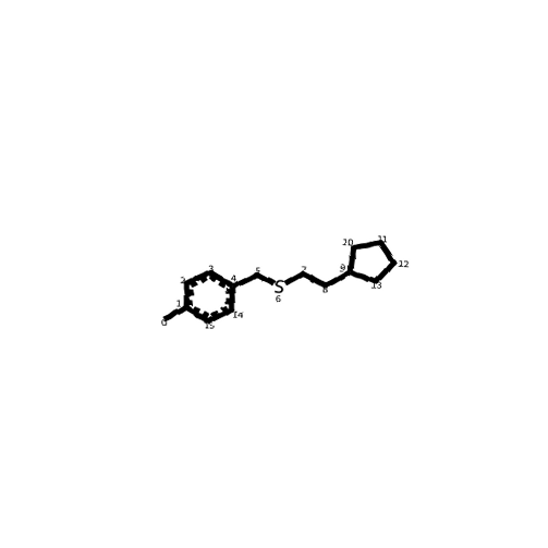 Cc1ccc(CSCCC2CCCC2)cc1